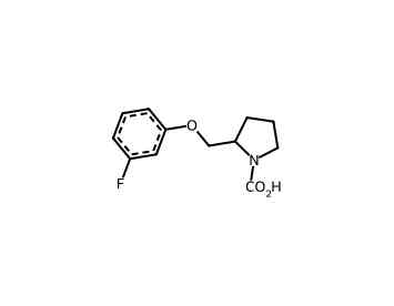 O=C(O)N1CCCC1COc1cccc(F)c1